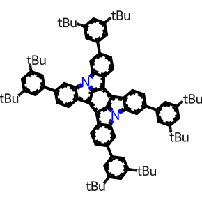 CC(C)(C)c1cc(-c2ccc3c4c5c6ccc(-c7cc(C(C)(C)C)cc(C(C)(C)C)c7)cc6n6c7cc(-c8cc(C(C)(C)C)cc(C(C)(C)C)c8)ccc7c(c7c8ccc(-c9cc(C(C)(C)C)cc(C(C)(C)C)c9)cc8n(c3c2)c47)c56)cc(C(C)(C)C)c1